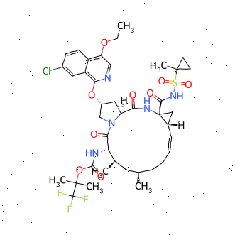 CCOc1cnc(O[C@@H]2C[C@H]3C(=O)N[C@]4(C(=O)NS(=O)(=O)C5(C)CC5)C[C@@H]4/C=C\CC[C@@H](C)C[C@@H](C)[C@H](NC(=O)OC(C)(C)C(F)(F)F)C(=O)N3C2)c2cc(Cl)ccc12